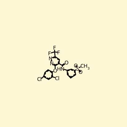 CS(=O)(=O)c1cccc(NC(=O)c2cc(C(F)(F)F)nnc2Oc2ccc(Cl)cc2Cl)c1